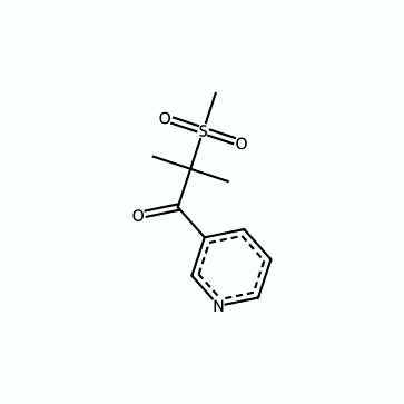 CC(C)(C(=O)c1cccnc1)S(C)(=O)=O